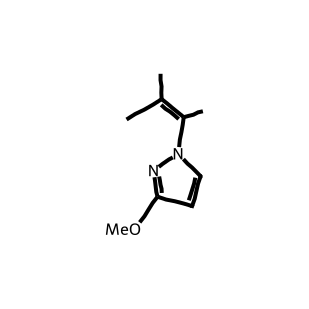 COc1ccn(C(C)=C(C)C)n1